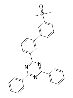 CP(C)(=O)c1cccc(-c2cccc(-c3nc(-c4ccccc4)nc(-c4ccccc4)n3)c2)c1